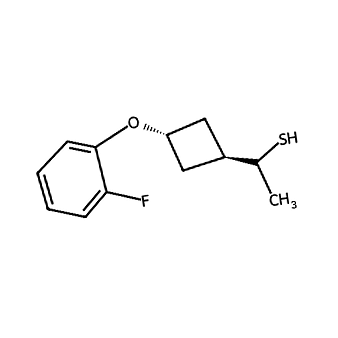 CC(S)[C@H]1C[C@H](Oc2ccccc2F)C1